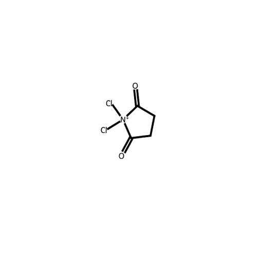 O=C1CCC(=O)[N+]1(Cl)Cl